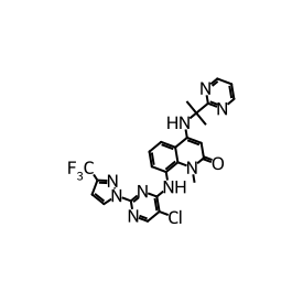 Cn1c(=O)cc(NC(C)(C)c2ncccn2)c2cccc(Nc3nc(-n4ccc(C(F)(F)F)n4)ncc3Cl)c21